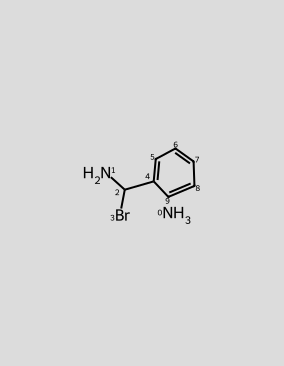 N.NC(Br)c1ccccc1